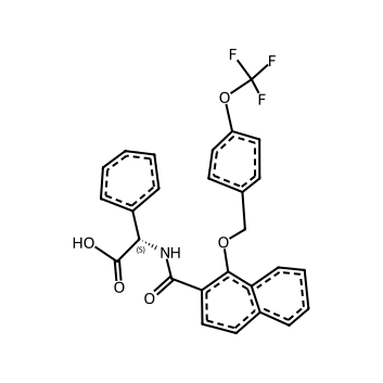 O=C(N[C@H](C(=O)O)c1ccccc1)c1ccc2ccccc2c1OCc1ccc(OC(F)(F)F)cc1